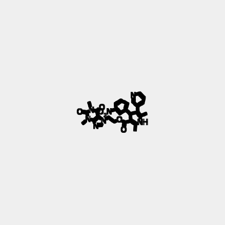 CC1=C(C(=O)OCCn2cnc3c2c(=O)n(C)c(=O)n3C)C(c2cccc([N+](=O)[O-])c2)C(c2cccnc2)=C(C)N1